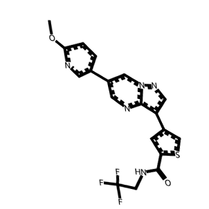 COc1ccc(-c2cnc3c(-c4csc(C(=O)NCC(F)(F)F)c4)cnn3c2)cn1